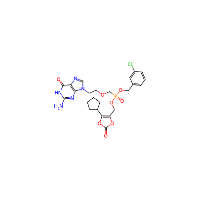 Nc1nc2c(ncn2CCOCP(=O)(OCc2cccc(Cl)c2)OCc2oc(=O)oc2C2CCCC2)c(=O)[nH]1